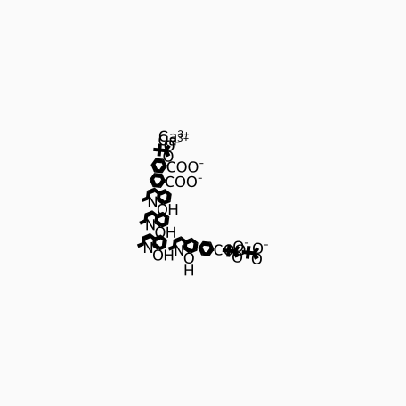 CC(C)(C)C(=O)[O-].CC(C)(C)C(=O)[O-].CC(C)(C)C(=O)[O-].Cc1ccc2cccc(O)c2n1.Cc1ccc2cccc(O)c2n1.Cc1ccc2cccc(O)c2n1.Cc1ccc2cccc(O)c2n1.O=C([O-])c1ccccc1.O=C([O-])c1ccccc1.O=C([O-])c1ccccc1.[Ga+3].[Ga+3]